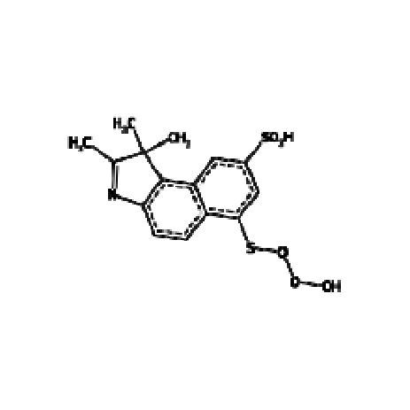 CC1=Nc2ccc3c(SOOO)cc(S(=O)(=O)O)cc3c2C1(C)C